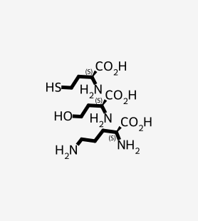 NCCC[C@H](N)C(=O)O.N[C@@H](CCO)C(=O)O.N[C@@H](CCS)C(=O)O